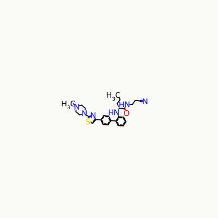 CCC[C@H](Nc1ccccc1-c1ccc(-c2csc(N3CCN(C)CC3)n2)cc1)C(=O)NCCC#N